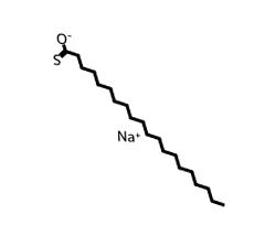 CCCCCCCCCCCCCCCCCCCC([O-])=S.[Na+]